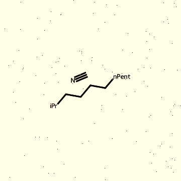 C#N.CCCCCCCCCC(C)C